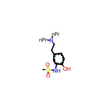 CCCN(CCC)CCc1ccc(O)c(NS(C)(=O)=O)c1